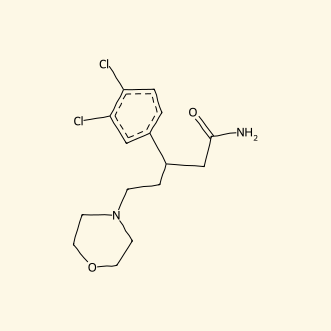 NC(=O)CC(CCN1CCOCC1)c1ccc(Cl)c(Cl)c1